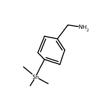 [CH3][Sn]([CH3])([CH3])[c]1ccc(CN)cc1